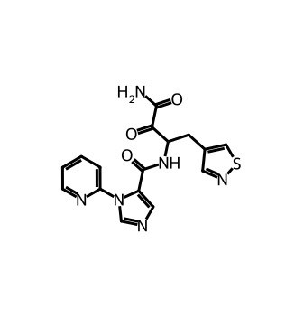 NC(=O)C(=O)C(Cc1cnsc1)NC(=O)c1cncn1-c1ccccn1